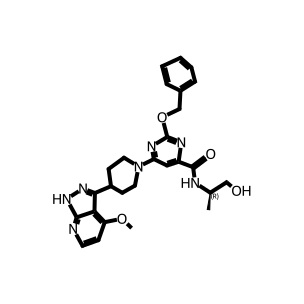 COc1ccnc2[nH]nc(C3CCN(c4cc(C(=O)N[C@H](C)CO)nc(OCc5ccccc5)n4)CC3)c12